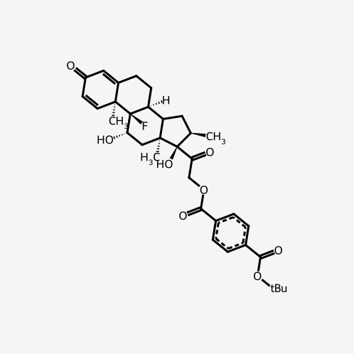 C[C@@H]1CC2[C@@H]3CCC4=CC(=O)C=C[C@]4(C)[C@@]3(F)[C@@H](O)C[C@]2(C)[C@@]1(O)C(=O)COC(=O)c1ccc(C(=O)OC(C)(C)C)cc1